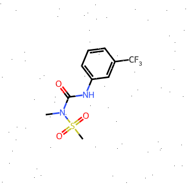 CN(C(=O)Nc1cccc(C(F)(F)F)c1)S(C)(=O)=O